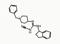 N#CN/C(=N\C1CCN(Cc2ccccc2)CC1)NC1CCc2ccccc21